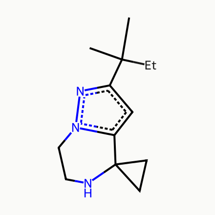 CCC(C)(C)c1cc2n(n1)CCNC21CC1